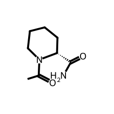 CC(=O)N1CCCC[C@@H]1C(N)=O